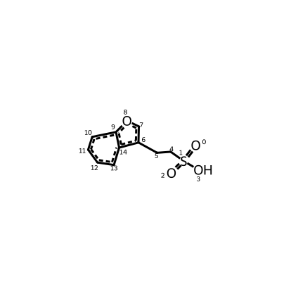 O=S(=O)(O)CCc1coc2ccccc12